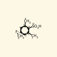 CF.Cc1cccc(C)c1S(=O)(=O)O